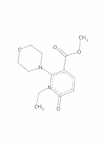 CCn1c(N2CCOCC2)c(C(=O)OC)ccc1=O